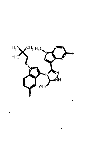 Cn1cc(C2=NNC(C=O)N2c2cn(CCC(C)(C)N)c3ccc(F)cc23)c2cc(F)ccc21